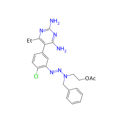 CCc1nc(N)nc(N)c1-c1ccc(Cl)c(N=NN(CCOC(C)=O)Cc2ccccc2)c1